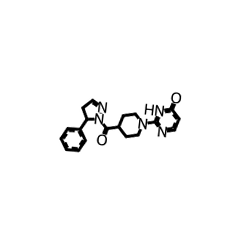 O=C(C1CCN(c2nccc(=O)[nH]2)CC1)N1N=CCC1c1ccccc1